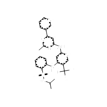 Cc1nc(Nc2cc(Nc3ccccc3S(=O)(=O)NC(C)C)c(C(F)(F)F)cn2)cc(-c2cccnc2)n1